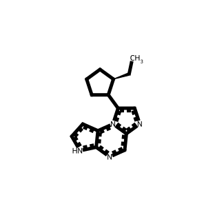 CC[C@@H]1CCCC1c1cnc2cnc3[nH]ccc3n12